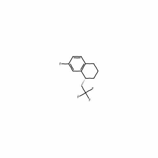 Fc1ccc2c(c1)[C@@H](CC(F)(F)F)CCC2